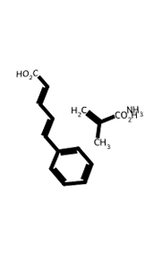 C=C(C)C(=O)O.N.O=C(O)C=CC=Cc1ccccc1